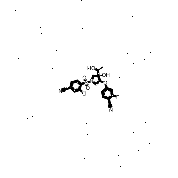 C[C@H](O)[C@]1(O)CN(S(=O)(=O)c2ccc(C#N)cc2Cl)CC1Oc1ccc(C#N)c(F)c1